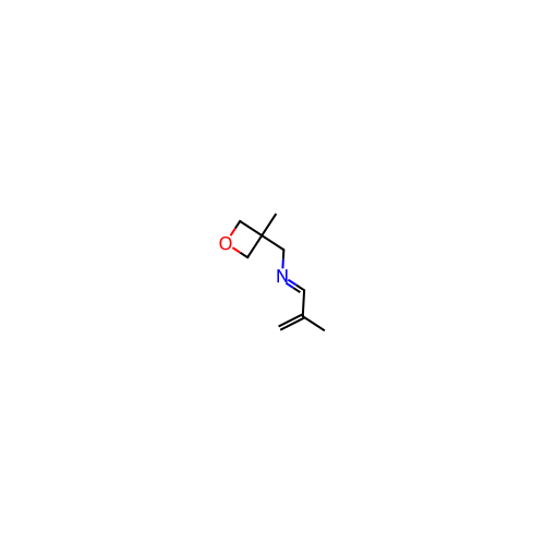 C=C(C)C=NCC1(C)COC1